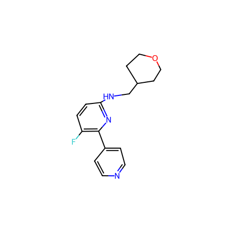 Fc1ccc(NCC2CCOCC2)nc1-c1ccncc1